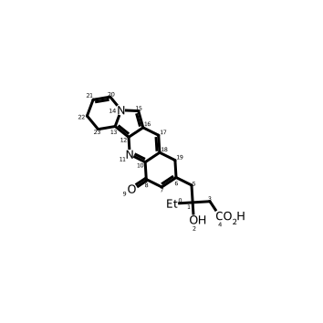 CCC(O)(CC(=O)O)CC1=CC(=O)c2nc3c4n(cc3cc2C1)C=CCC4